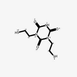 O=c1[nH]c(=O)n(CCS)c(=O)n1CCS